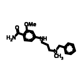 COc1cc(NCCCN(C)Cc2ccccc2)ccc1C(N)=O